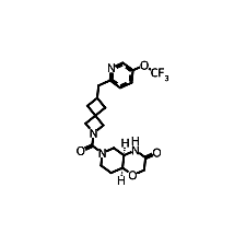 O=C1CO[C@H]2CCN(C(=O)N3CC4(CC(Cc5ccc(OC(F)(F)F)cn5)C4)C3)C[C@H]2N1